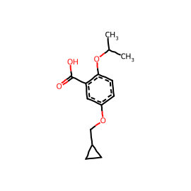 CC(C)Oc1ccc(OCC2CC2)cc1C(=O)O